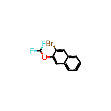 FC(F)Oc1cc2ccccc2cc1Br